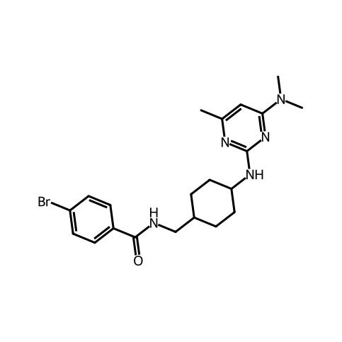 Cc1cc(N(C)C)nc(NC2CCC(CNC(=O)c3ccc(Br)cc3)CC2)n1